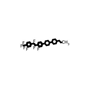 CCCC1CCC(C2CCC(c3ccc(/C(F)=C(\F)c4ccc(C(F)(F)F)c(F)c4)c(F)c3)CC2)CC1